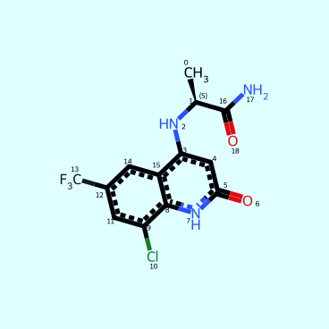 C[C@H](Nc1cc(=O)[nH]c2c(Cl)cc(C(F)(F)F)cc12)C(N)=O